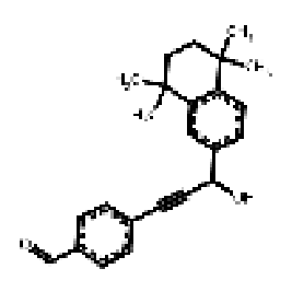 CC1(C)CCC(C)(C)c2cc(C(O)C#Cc3ccc(C=O)cc3)ccc21